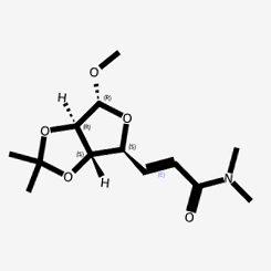 CO[C@@H]1O[C@@H](/C=C/C(=O)N(C)C)[C@@H]2OC(C)(C)O[C@@H]12